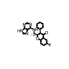 C[C@H](Nc1ncnc2[nH]cnc12)c1oc2ccc(F)cc2c(=O)c1-c1ccccc1